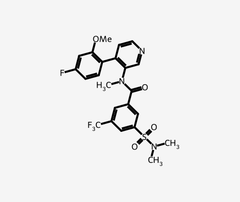 COc1cc(F)ccc1-c1ccncc1N(C)C(=O)c1cc(C(F)(F)F)cc(S(=O)(=O)N(C)C)c1